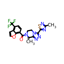 Cc1nsc(-c2nnc3n2CCN(C(=O)c2ccc(C(F)(F)F)c4ccoc24)[C@@H]3C)n1